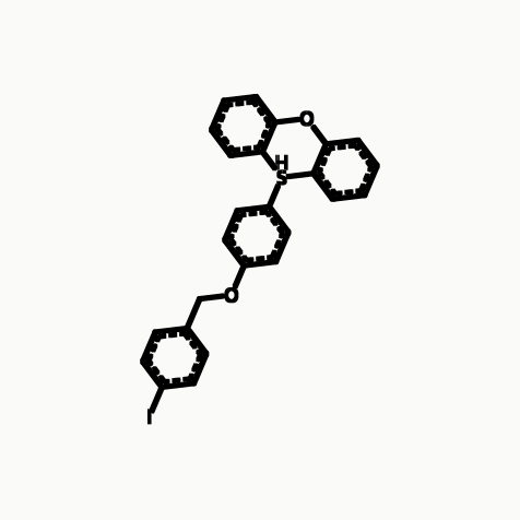 Ic1ccc(COc2ccc([SH]3c4ccccc4Oc4ccccc43)cc2)cc1